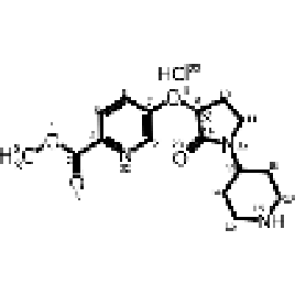 COC(=O)c1ccc(O[C@H]2CCN(C3CCNCC3)C2=O)cn1.Cl